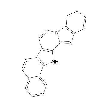 C1=Cc2nc3c4[nH]c5c6ccccc6ccc5c4ccn3c2CC1